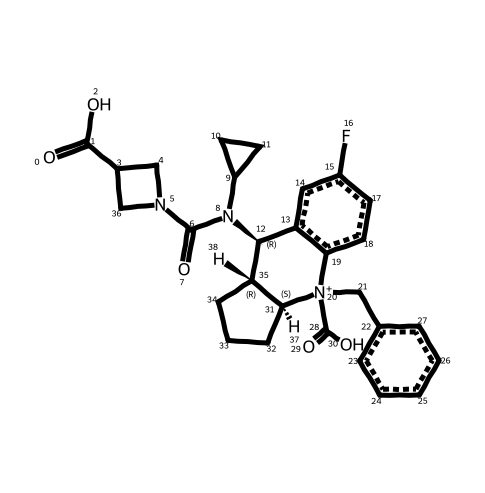 O=C(O)C1CN(C(=O)N(C2CC2)[C@H]2c3cc(F)ccc3[N+](Cc3ccccc3)(C(=O)O)[C@H]3CCC[C@H]23)C1